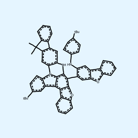 CC(C)(C)c1ccc(Nc2cc3c(cc2-c2c4c5c(c6cc(C(C)(C)C)ccc6n5-c5cc6c(cc5B4)-c4ccccc4C6(C)C)c4c2oc2ccccc24)oc2ccccc23)cc1